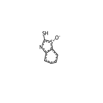 [O-][s+]1c(S)nc2ccccc21